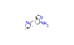 Cc1cnc(CC2CCC(N)c3ncccc32)c(C)c1